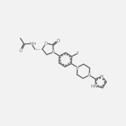 CC(=O)NC[C@H]1CN(c2ccc(N3CCN(c4ncc[nH]4)CC3)c(F)c2)C(=O)O1